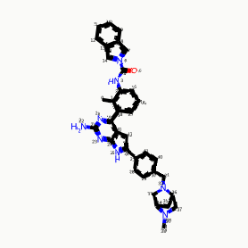 Cc1c(NC(=O)n2cc3ccccc3c2)cccc1-c1nc(N)nc2[nH]c(-c3ccc(CN4CC5CC4CN5C)cc3)cc12